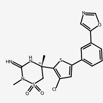 CN1C(=N)N[C@](C)(c2sc(-c3cccc(-c4cnco4)c3)cc2Cl)CS1(=O)=O